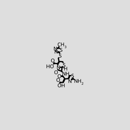 Cc1nnc(SCC2=C(C(=O)O)N3C(=O)C(NC(=O)/C(=C\C(=O)O)c4csc(N)n4)[C@H]3SC2)s1